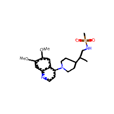 COc1cc2nccc(N3CCC(C(C)CNS(C)(=O)=O)CC3)c2cc1OC